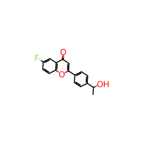 CC(O)c1ccc(-c2cc(=O)c3cc(F)ccc3o2)cc1